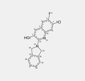 Oc1cc2cc(F)c(Cl)cc2nc1N1Cc2ccccc2C1